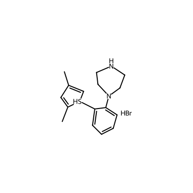 Br.CC1=C[SH](c2ccccc2N2CCNCC2)C(C)=C1